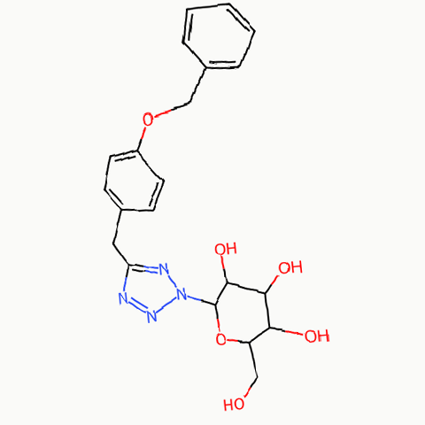 OCC1OC(n2nnc(Cc3ccc(OCc4ccccc4)cc3)n2)C(O)C(O)C1O